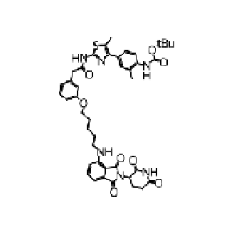 Cc1cc(-c2nc(NC(=O)Cc3cccc(OCCCCCNc4cccc5c4C(=O)N(C4CCC(=O)NC4=O)C5=O)c3)sc2C)ccc1NC(=O)OC(C)(C)C